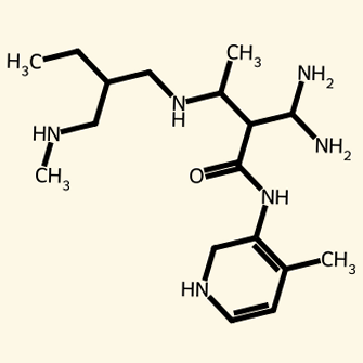 CCC(CNC)CNC(C)C(C(=O)NC1=C(C)C=CNC1)C(N)N